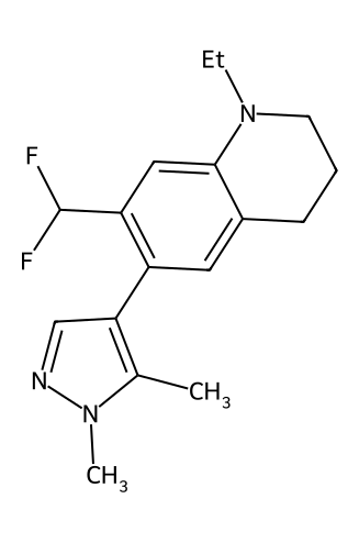 CCN1CCCc2cc(-c3cnn(C)c3C)c(C(F)F)cc21